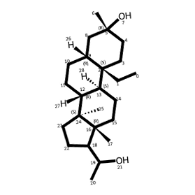 CC[C@]12CC[C@@](C)(O)C[C@H]1CC[C@@H]1[C@@H]2CC[C@]2(C)C(C(C)O)CC[C@@]12C